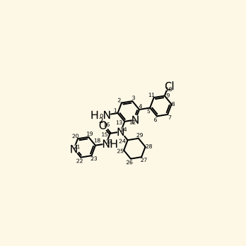 Nc1ccc(-c2cccc(Cl)c2)nc1N(C(=O)Nc1ccncc1)C1CCCCC1